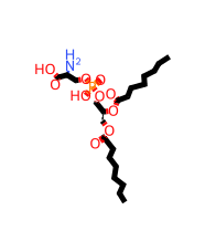 CCCCCCCC(=O)OC[C@H](COP(=O)(O)OC[C@H](N)C(=O)O)OC(=O)CCCCCCC